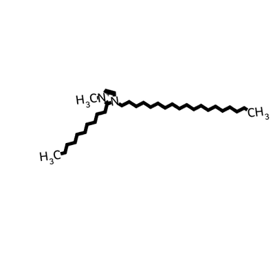 CCCCCCCCCCCCCCCCCCCn1cc[n+](C)c1CCCCCCCCCC